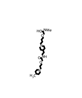 CNC(O)COCCCCN1CCC(CCNC(=O)COCCCN2CCC(C)CC2)CC1